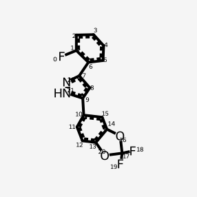 Fc1ccccc1-c1cc(-c2ccc3c(c2)OC(F)(F)O3)[nH]n1